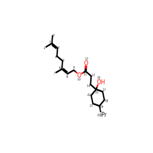 CC(C)=CCCC(C)=CCOC(=O)CCC1(O)CCC(C(C)C)CC1